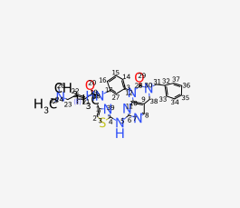 Cc1csc(Nc2ncc3c(n2)N(c2cccc(NC(=O)/C=C/CN(C)C)c2)C(=O)N(Cc2ccccc2)C3)n1